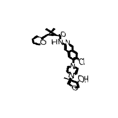 CC1(C)[C@H]([C@@H]2CCCCO2)[C@H]1C(=O)Nc1cc2cc(N3CCN([C@@]4(C)COC[C@H]4O)CC3)c(Cl)cc2cn1